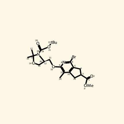 COC(=O)C1Cc2c(Br)nc(OC[C@H]3COC(C)(C)N3C(=O)OC(C)(C)C)c(C)c2C1